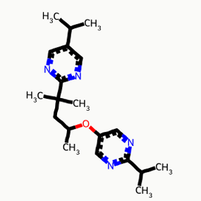 CC(CC(C)(C)c1ncc(C(C)C)cn1)Oc1cnc(C(C)C)nc1